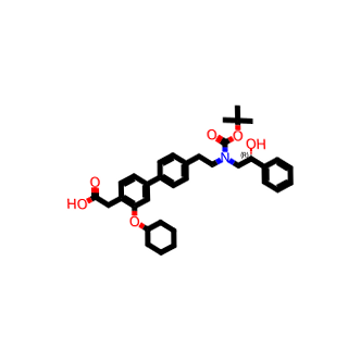 CC(C)(C)OC(=O)N(CCc1ccc(-c2ccc(CC(=O)O)c(OC3CCCCC3)c2)cc1)C[C@H](O)c1ccccc1